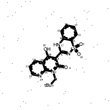 CC(C)(C)Cn1c(=O)c(C2=NS(=O)(=O)c3ccccc3N2)c(O)c2cccnc21